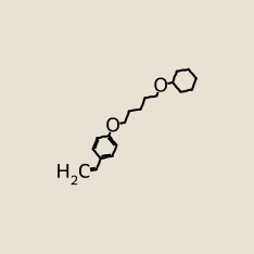 C=Cc1ccc(OCCCCCOC2CCCCC2)cc1